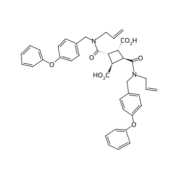 C=CCN(Cc1ccc(Oc2ccccc2)cc1)C(=O)[C@H]1[C@H](C(=O)O)[C@H](C(=O)N(CC=C)Cc2ccc(Oc3ccccc3)cc2)[C@H]1C(=O)O